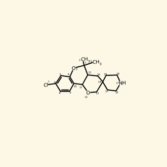 CC1(C)Oc2cc(Cl)ccc2C2OCC3(CCNCC3)CC21